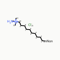 CCCCCCCCCCCCCCCCCCC[N+](C)(C)N.[Cl-]